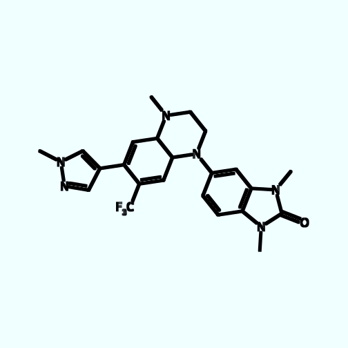 CN1CCN(c2ccc3c(c2)n(C)c(=O)n3C)C2C=C(C(F)(F)F)C(c3cnn(C)c3)=CC21